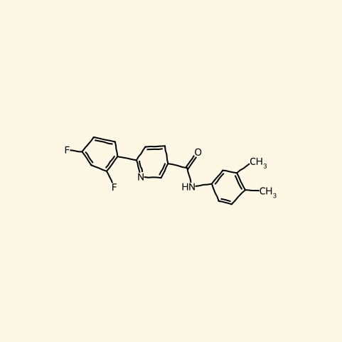 Cc1ccc(NC(=O)c2ccc(-c3ccc(F)cc3F)nc2)cc1C